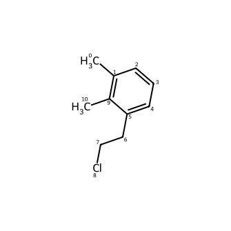 Cc1cccc(CCCl)c1C